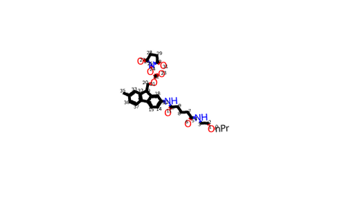 CCCOCCNC(=O)CCCC(=O)Nc1ccc2c(c1)C(COC(=O)ON1C(=O)CCC1=O)c1cc(C)ccc1-2